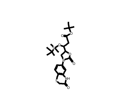 CC(C)(C)OC(=O)CC(O[Si](C)(C)C(C)(C)C)C1CN(c2ccc3c(c2)NC(=O)CS3)C(=O)O1